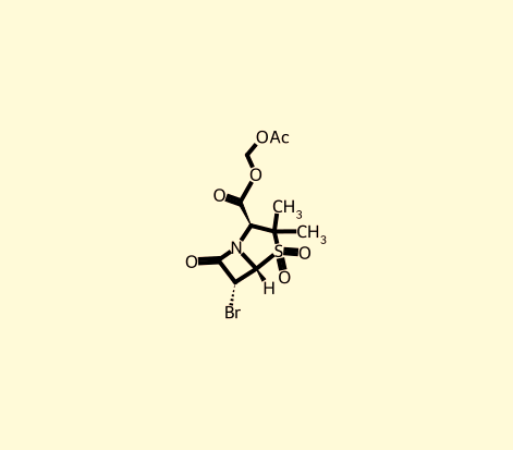 CC(=O)OCOC(=O)[C@@H]1N2C(=O)[C@@H](Br)[C@H]2S(=O)(=O)C1(C)C